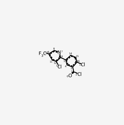 O=C(Cl)c1cc(-c2ncc(C(F)(F)F)cc2Cl)ccc1Cl